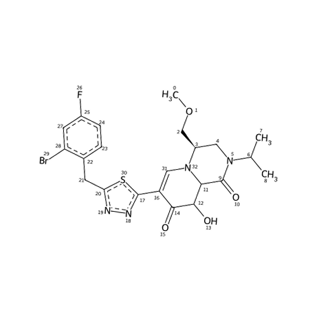 COC[C@H]1CN(C(C)C)C(=O)C2C(O)C(=O)C(c3nnc(Cc4ccc(F)cc4Br)s3)=CN21